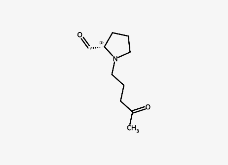 CC(=O)CCCN1CCC[C@H]1C=O